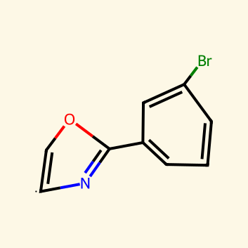 Brc1cccc(-c2n[c]co2)c1